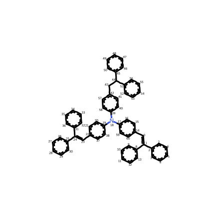 C(=C(c1ccccc1)c1ccccc1)c1ccc(N(c2ccc(C=C(c3ccccc3)c3ccccc3)cc2)c2ccc(CC(c3ccccc3)c3ccccc3)cc2)cc1